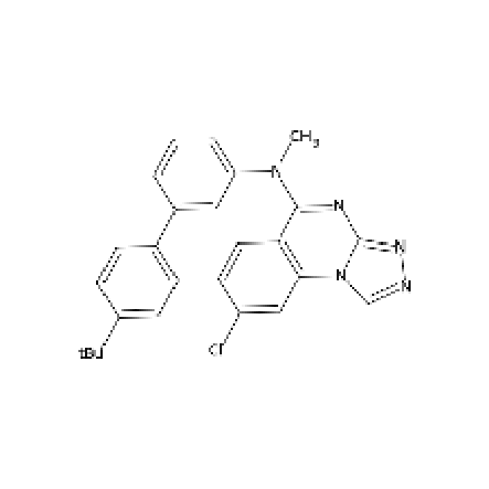 CN(c1cccc(-c2ccc(C(C)(C)C)cc2)c1)c1nc2nncn2c2cc(Cl)ccc12